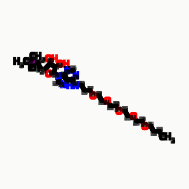 C=P(C)(C)CC[C@H]1O[C@@H](n2cnc3c(NCCCOCCOCCOCCOCCOCCCC)ncnc32)[C@H](O)[C@@H]1O